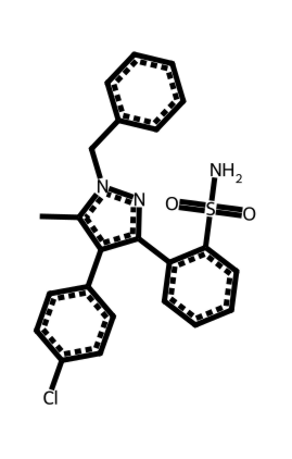 Cc1c(-c2ccc(Cl)cc2)c(-c2ccccc2S(N)(=O)=O)nn1Cc1ccccc1